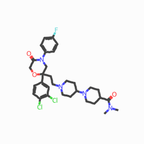 CN(C)C(=O)C1CCN(C2CCN(CCC3(c4ccc(Cl)c(Cl)c4)CN(c4ccc(F)cc4)C(=O)CO3)CC2)CC1